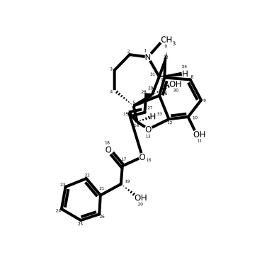 CN1CCC[C@]23c4c5ccc(O)c4O[C@H]2C(OC(=O)[C@H](O)c2ccccc2)=CC[C@@]3(O)[C@H]1C5